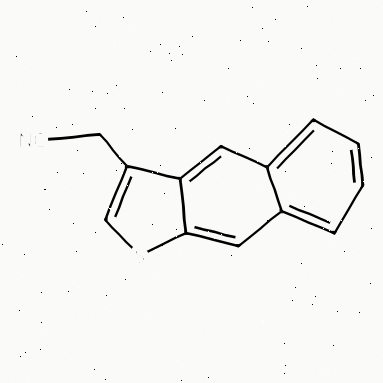 N#CCc1csc2cc3ccccc3cc12